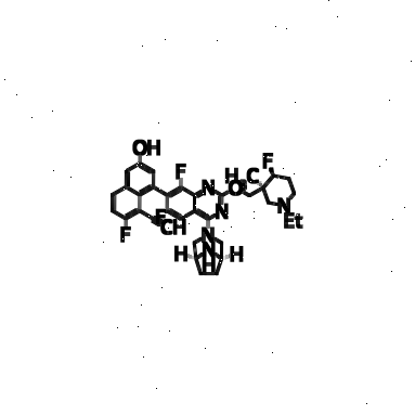 C#Cc1c(F)ccc2cc(O)cc(-c3c(F)cc4c(N5C[C@H]6CC[C@@H](C5)N6)nc(OC[C@]5(C)CN(CC)CC[C@@H]5F)nc4c3F)c12